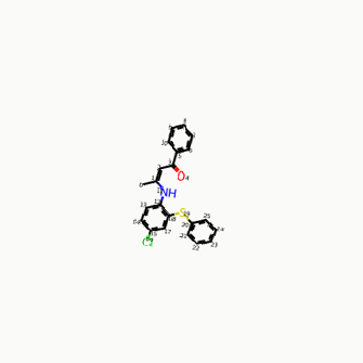 C/C(=C/C(=O)c1ccccc1)Nc1ccc(Cl)cc1Sc1ccccc1